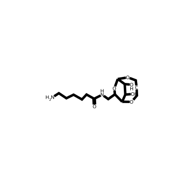 NCCCCCC(=O)NCC1OC2OCCCOC1C(O)C2O